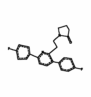 O=C1CCCN1CCc1nc(-c2ccc(F)cc2)ccc1-c1ccc(F)cc1